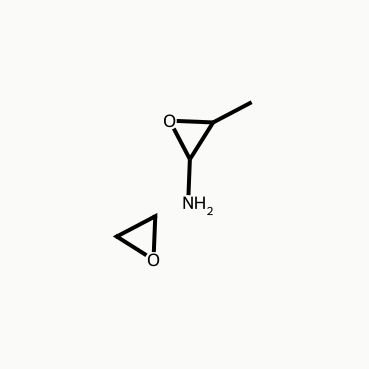 C1CO1.CC1OC1N